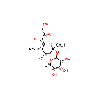 CC(=O)N[C@H]1[C@H]([C@H](O)[C@H](O)CO)OC(OC2O[C@@H](C)[C@@H](O)[C@@H](O)[C@@H]2O)(C(=O)O)C[C@@H]1O